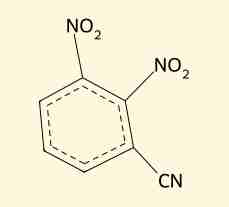 N#Cc1cccc([N+](=O)[O-])c1[N+](=O)[O-]